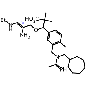 CCN/C=C(\N)COC(c1ccc(C)c(CN(CC2CCCCCC2)C(C)=P)c1)C(C)(C)C(=O)O